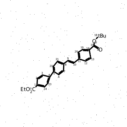 CCOC(=O)c1ccc(-c2ccc(C=Cc3ccc(C(=O)OC(C)(C)C)cc3)cc2)cc1